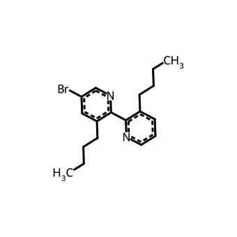 CCCCc1cccnc1-c1ncc(Br)cc1CCCC